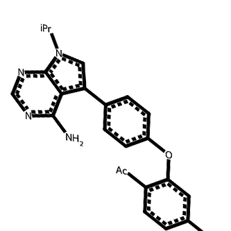 COc1ccc(C(C)=O)c(Oc2ccc(-c3cn(C(C)C)c4ncnc(N)c34)cc2)c1